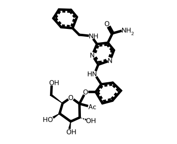 CC(=O)C1(Oc2ccccc2Nc2ncc(C(N)=O)c(NCc3ccccc3)n2)O[C@H](CO)[C@H](O)[C@H](O)[C@H]1O